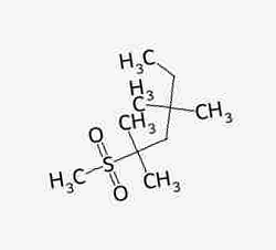 CCC(C)(C)CC(C)(C)S(C)(=O)=O